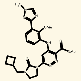 CNC(=O)c1nnc(N2CCN(CC3CCC3)C2=O)cc1Nc1cccc(-c2ncn(C)n2)c1OC